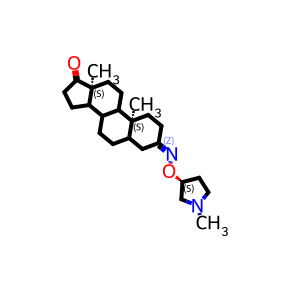 CN1CC[C@H](O/N=C2/CC[C@@]3(C)C(CCC4C3CC[C@]3(C)C(=O)CCC43)C2)C1